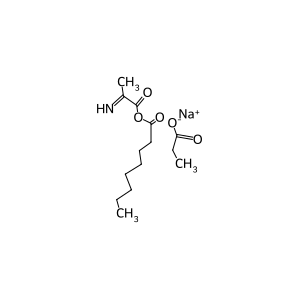 CCC(=O)[O-].CCCCCCCC(=O)OC(=O)C(C)=N.[Na+]